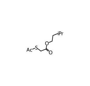 CC(=O)SCC(=O)OCCC(C)C